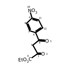 CCOC(=O)C(=O)CC(=O)c1ccc([N+](=O)[O-])cc1